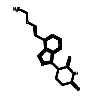 CCOC=Cc1cccc2c1cnn2C1CCC(=O)NC1=O